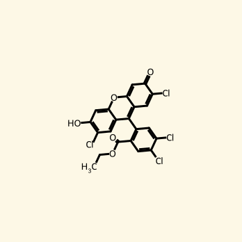 CCOC(=O)c1cc(Cl)c(Cl)cc1-c1c2cc(Cl)c(=O)cc-2oc2cc(O)c(Cl)cc12